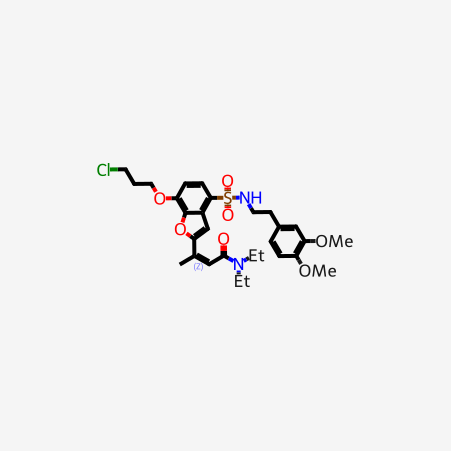 CCN(CC)C(=O)/C=C(/C)c1cc2c(S(=O)(=O)NCCc3ccc(OC)c(OC)c3)ccc(OCCCCl)c2o1